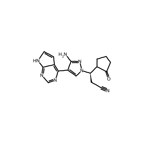 N#CC[C@H](C1CCCC1=O)n1cc(-c2ncnc3[nH]ccc23)c(N)n1